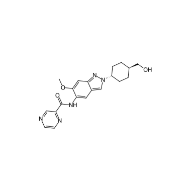 COc1cc2nn([C@H]3CC[C@H](CO)CC3)cc2cc1NC(=O)c1cnccn1